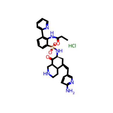 CCC(=O)Nc1c(-c2ccccn2)cccc1S(=O)(=O)N[C@@H](CCCc1ccc(N)nc1)C(=O)C1CNCCC1CC.Cl